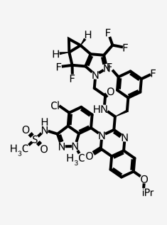 CC(C)Oc1ccc2c(=O)n(-c3ccc(Cl)c4c(NS(C)(=O)=O)nn(C)c34)c([C@H](Cc3cc(F)cc(F)c3)NC(=O)Cn3nc(C(F)F)c4c3C(F)(F)[C@@H]3C[C@H]43)nc2c1